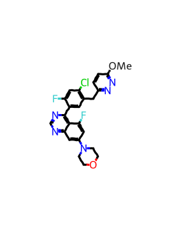 COc1ccc(Cc2cc(-c3ncnc4cc(N5CCOCC5)cc(F)c34)c(F)cc2Cl)nn1